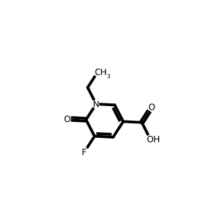 CCn1cc(C(=O)O)cc(F)c1=O